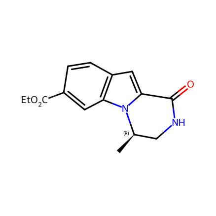 CCOC(=O)c1ccc2cc3n(c2c1)[C@H](C)CNC3=O